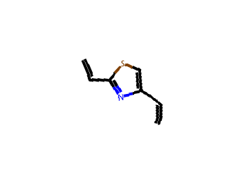 C=Cc1csc(C=C)n1